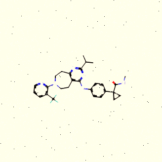 CNC(=O)C1(c2ccc(Nc3nc(C(C)C)nc4c3CCN(c3ncccc3C(F)(F)F)CC4)cc2)CC1